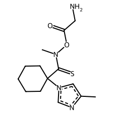 Cc1cn(C2(C(=S)N(C)OC(=O)CN)CCCCC2)cn1